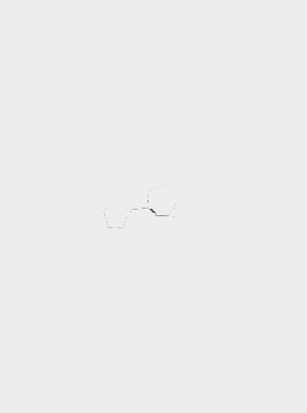 PN1C=C(N2CCCC2)CCC1